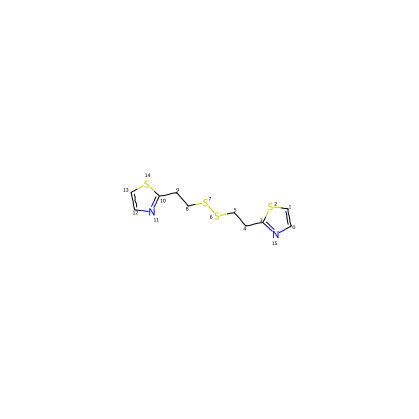 c1csc(CCSSCCc2nccs2)n1